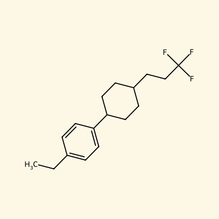 CCc1ccc(C2CCC(CCC(F)(F)F)CC2)cc1